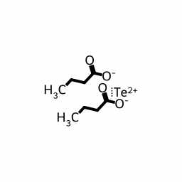 CCCC(=O)[O-].CCCC(=O)[O-].[Te+2]